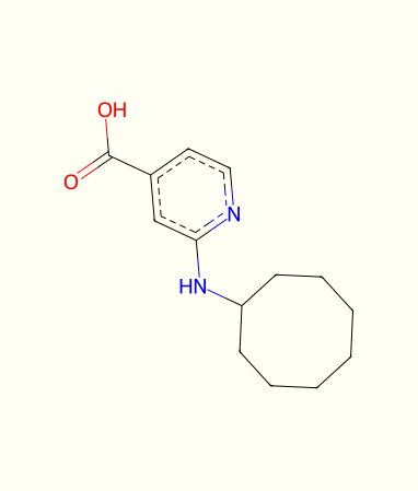 O=C(O)c1ccnc(NC2CCCCCCC2)c1